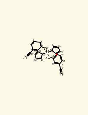 N#Cc1cccc([O][Zr]([O]c2cccc(C#N)c2)([CH]2C=CC=C2)[CH]2C=CC=C2)c1